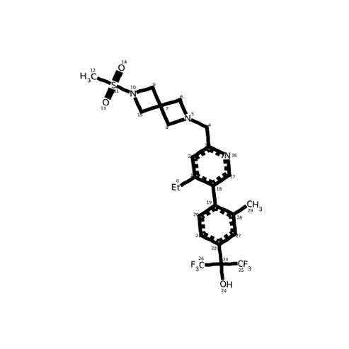 CCc1cc(CN2CC3(C2)CN(S(C)(=O)=O)C3)ncc1-c1ccc(C(O)(C(F)(F)F)C(F)(F)F)cc1C